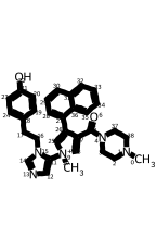 CN1CCN(C(=O)C2=C[N+](C)(c3cncn3CCc3ccc(O)cc3)C=C2c2cccc3ccccc23)CC1